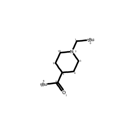 CC(C)(C)CN1CCC(C(=O)C(C)(C)C)CC1